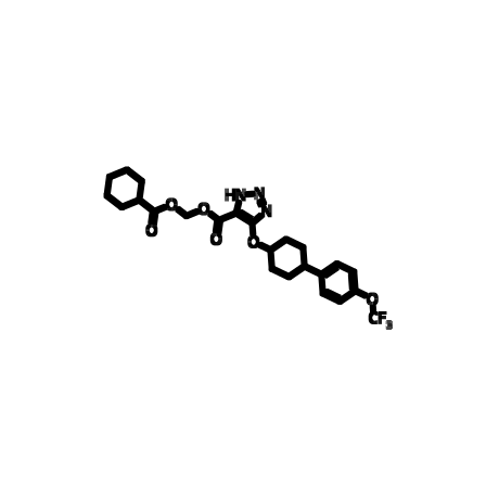 O=C(OCOC(=O)C1CCCCC1)c1[nH]nnc1OC1CCC(c2ccc(OC(F)(F)F)cc2)CC1